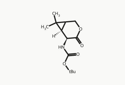 CC(C)(C)OC(=O)N[C@@H]1C(=O)OCC2[C@@H]1C2(C)C